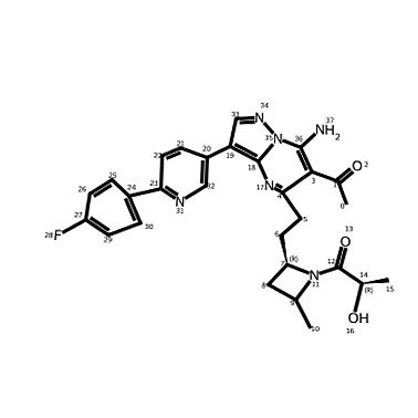 CC(=O)c1c(CC[C@@H]2CC(C)N2C(=O)[C@@H](C)O)nc2c(-c3ccc(-c4ccc(F)cc4)nc3)cnn2c1N